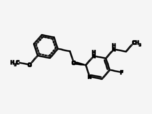 CCNC1=C(F)C=N[C@@H](OCc2cccc(OC)c2)N1